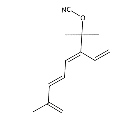 C=C/C(=C\C=C\C(=C)C)C(C)(C)OC#N